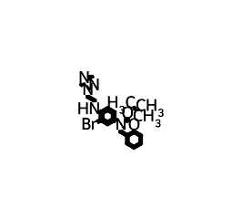 CC(C)(C)OC(=O)N(CC1CCCCC1)c1ccc(NCCn2cncn2)c(Br)c1